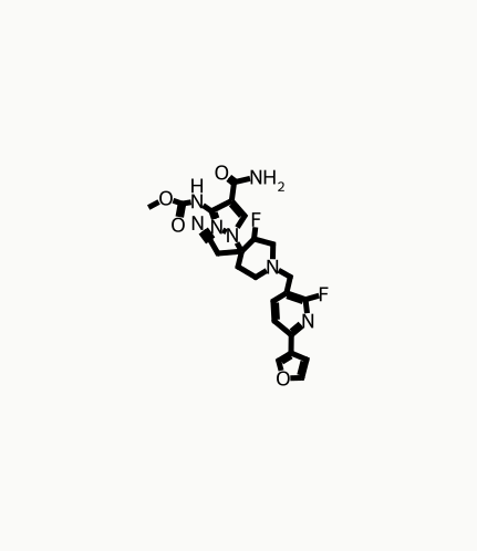 COC(=O)Nc1nn(C2(CC#N)CCN(Cc3ccc(-c4ccoc4)nc3F)CC2F)cc1C(N)=O